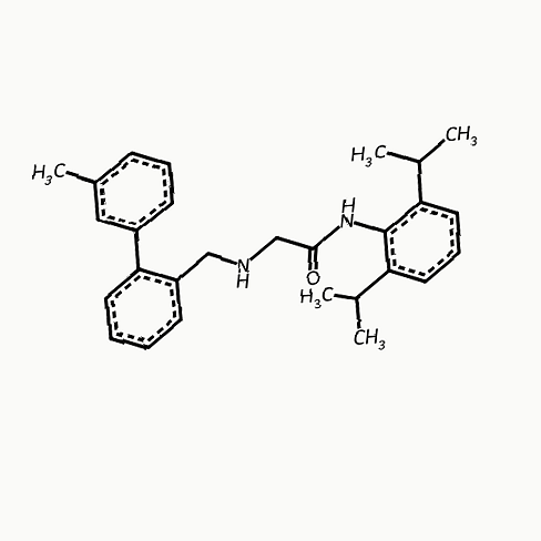 Cc1cccc(-c2ccccc2CNCC(=O)Nc2c(C(C)C)cccc2C(C)C)c1